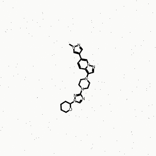 Cn1cc(-c2ccc3c(N4CCN(c5ncn(C6CCCCO6)n5)CC4)cnn3c2)cn1